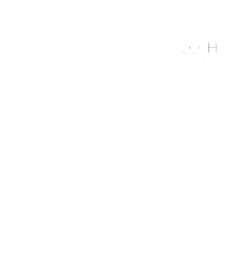 CC(C)=CCCC(C)=CCC(C)C(=O)O